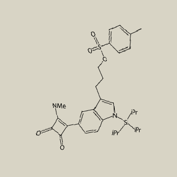 CNc1c(-c2ccc3c(c2)c(CCCOS(=O)(=O)c2ccc(C)cc2)cn3[Si](C(C)C)(C(C)C)C(C)C)c(=O)c1=O